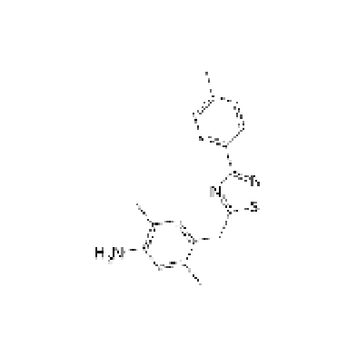 Cc1ccc(-c2nsc(Cc3cc(C)c(N)cc3C)n2)cc1